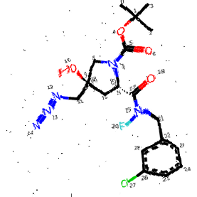 CC(C)(C)OC(=O)N1C[C@@](O)(CN=[N+]=[N-])C[C@H]1C(=O)N(F)Cc1cccc(Cl)c1